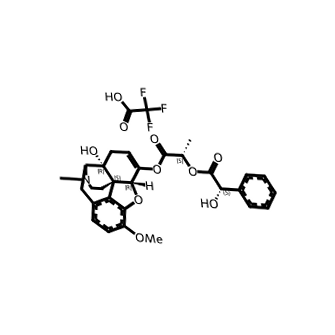 COc1ccc2c3c1O[C@H]1C(OC(=O)[C@H](C)OC(=O)[C@@H](O)c4ccccc4)=CC[C@]4(O)C(C2)N(C)CC[C@]314.O=C(O)C(F)(F)F